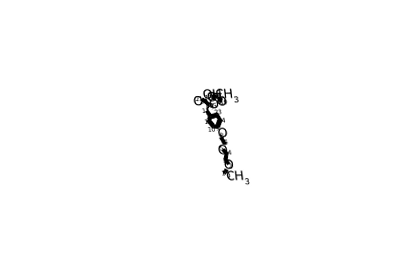 CCOCCOCCOc1ccc(C[C@@H](OS(C)(=O)=O)C(=O)O)cc1